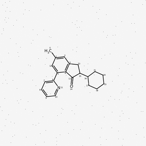 Cc1cc2c(c(-c3ccccn3)c1)C(=O)C(C1CCCCC1)C2